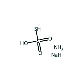 N.O=S(=O)(O)S.[NaH]